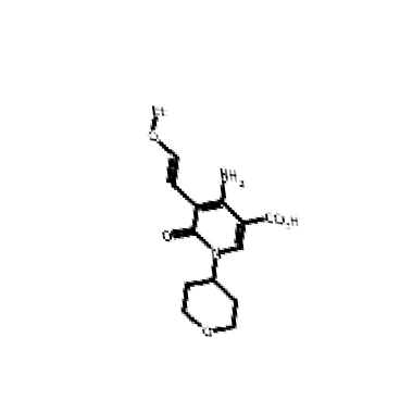 CCOC=Cc1c(N)c(C(=O)O)cn(C2CCOCC2)c1=O